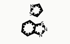 c1ccc2snnc2c1.c1cnsc1